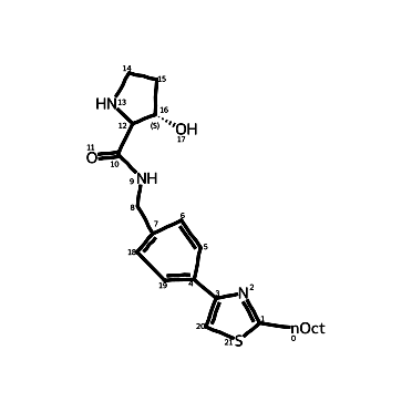 CCCCCCCCc1nc(-c2ccc(CNC(=O)C3NCC[C@@H]3O)cc2)cs1